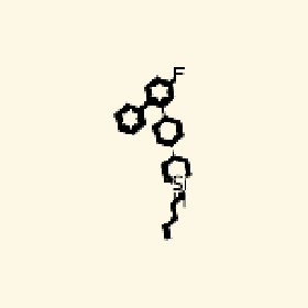 CCCCC[SiH]1CCC([C@H]2CC[C@H](c3cc(F)ccc3-c3ccccc3)CC2)CC1